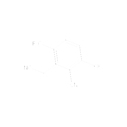 N#CCc1c(C(F)(F)F)ccc(C(F)(F)F)c1C#N